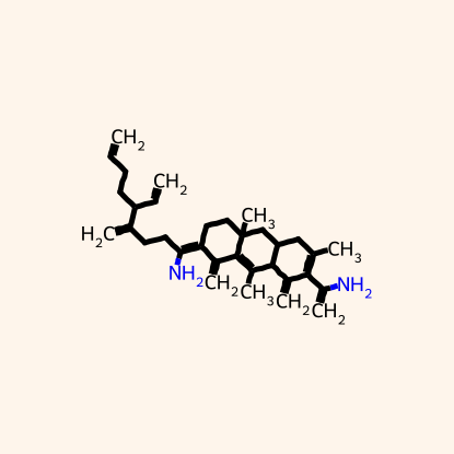 C=CCCC(C=C)C(=C)CC/C(N)=C1\CCC2(C)CC3CC(C)=C(C(=C)N)C(=C)C3C(C)=C2C1=C